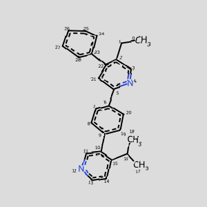 CCc1cnc(-c2ccc(-c3cnccc3C(C)C)cc2)cc1-c1ccccc1